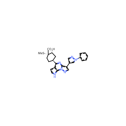 CS[C@]1(C(=O)O)CC[C@@H](c2nc3c(-c4cnn(-c5ccccc5)c4)cnn3c3[nH]ccc32)CC1